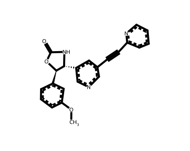 COc1cccc([C@H]2OC(=O)N[C@@H]2c2cncc(C#Cc3ccccn3)c2)c1